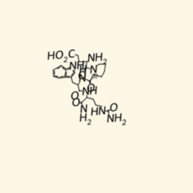 NC(=O)NCCCC(NC(=O)C(Cc1c[nH]c2ccccc12)NC(=O)[C@@H]1CCCCN1C(=O)C(N)CCC(=O)O)C(N)=O